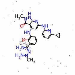 COc1c(Nc2cc(Nc3cccc(C4CC4)n3)nc3[nH]n(C)c(=O)c23)cccc1/C(N)=N/N(C)N